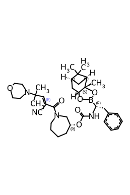 CC1(C)[C@@H]2C[C@H]3OB([C@H](Cc4ccccc4)NC(=O)O[C@@H]4CCCCN(C(=O)/C(C#N)=C/C(C)(C)N5CCOCC5)C4)O[C@@]3(C)[C@H]1C2